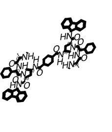 CN[C@@H](C)C(=O)N[C@H](C(=O)N1C[C@@H](NC(=O)C2CCC(C(=O)N[C@H]3C[C@@H](C(=O)NC4c5ccccc5-c5ccccc54)N(C(=O)[C@@H](NC(=O)[C@H](C)NC)C4CCCCC4)C3)CC2)C[C@H]1C(=O)NC1c2ccccc2-c2ccccc21)C1CCCCC1